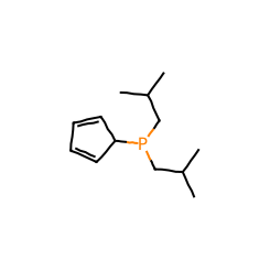 CC(C)CP(CC(C)C)C1C=CC=C1